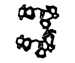 COc1cccc(-c2csc3ccnc(NCc4ccc5c(c4)OCCO5)c23)c1.c1ccc(-c2csc3ccnc(NCc4ccc5c(c4)OCCO5)c23)cc1